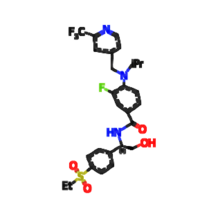 CCS(=O)(=O)c1ccc([C@H](CO)NC(=O)c2ccc(N(Cc3ccnc(C(F)(F)F)c3)C(C)C)c(F)c2)cc1